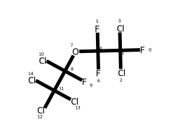 FC(Cl)(Cl)C(F)(F)OC(F)(Cl)C(Cl)(Cl)Cl